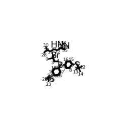 CC(Br)=CCB(c1ccc(SC(C)(C)C)cc1)c1ccc(SC(C)(C)C)cc1.CC(C)CCCc1cnc[nH]1